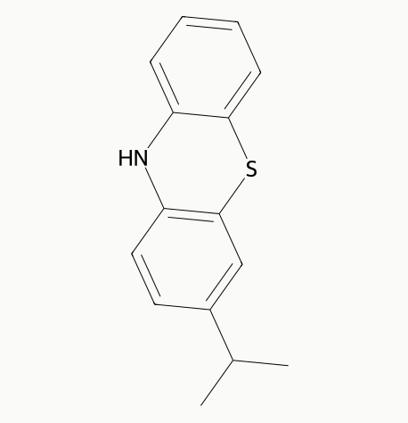 CC(C)c1ccc2c(c1)Sc1ccccc1N2